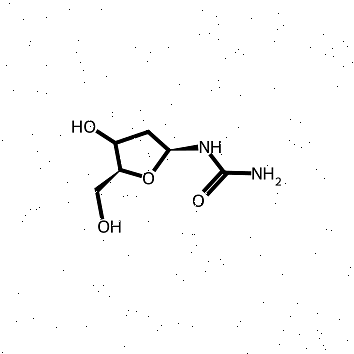 NC(=O)N[C@@H]1CC(O)[C@H](CO)O1